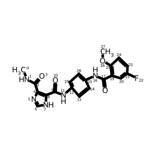 CNC(=O)c1nc[nH]c1C(=O)Nc1ccc(NC(=O)c2cc(F)ccc2OC)cc1